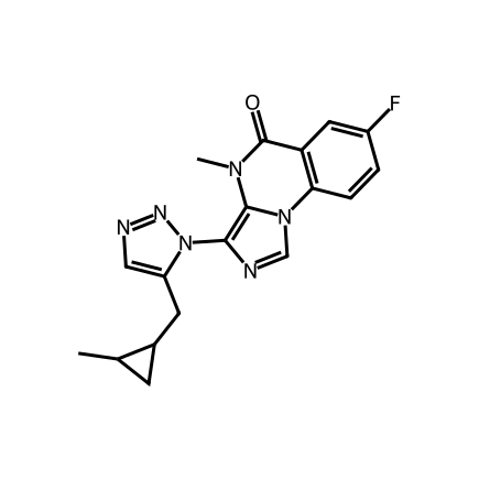 CC1CC1Cc1cnnn1-c1ncn2c3ccc(F)cc3c(=O)n(C)c12